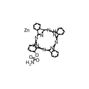 NS(=O)(=O)Oc1cccc2c3nc4nc(nc5[nH]c(nc6nc(nc([nH]3)c12)-c1ccccc1-6)c1ccccc51)-c1ccccc1-4.[Zn]